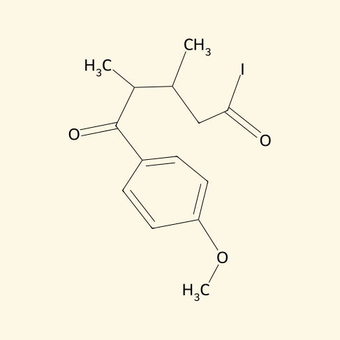 COc1ccc(C(=O)C(C)C(C)CC(=O)I)cc1